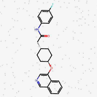 O=C(C[C@H]1CC[C@H](Oc2cncc3ccccc23)CC1)Nc1ccc(F)cc1